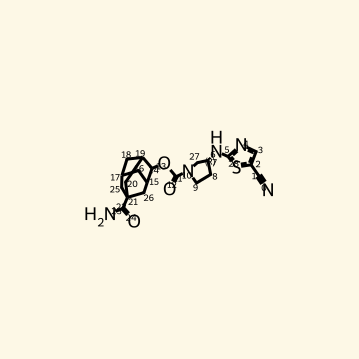 N#Cc1cnc(N[C@@H]2CCN(C(=O)OC3C4CC5CC3CC(C(N)=O)(C5)C4)C2)s1